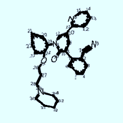 N#Cc1ccccc1-c1cc(-c2ccccn2)cn(-c2ccccc2OCCCN2CCCCC2)c1=O